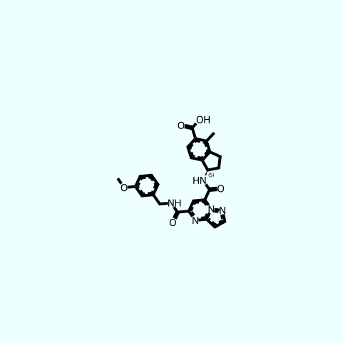 COc1cccc(CNC(=O)c2cc(C(=O)N[C@H]3CCc4c3ccc(C(=O)O)c4C)n3nccc3n2)c1